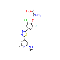 Cc1cc(-c2nnc(-c3cc(F)c(OC[C@H](N)[C@@H](C)O)c(Cl)c3)s2)cc(NC(C)C)n1